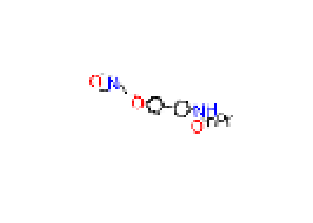 CCCC(=O)Nc1ccc(-c2ccc(OCCCN3CCOCC3)cc2)cc1